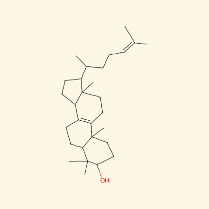 CC(C)=CCCC(C)C1CCC2C3=C(CCC21C)C1(C)CCC(O)C(C)(C)C1CC3